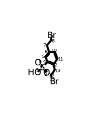 O=S(=O)(O)c1cc(CCBr)ccc1CCBr